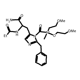 CCC(=O)NC(Cc1cnc(Cc2ccccc2)n1C(=O)[N+](C)(CCOC)OCCOC)C(N)=O